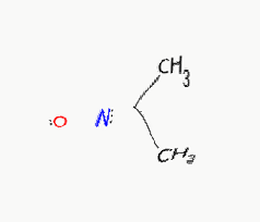 CCC.[N].[O]